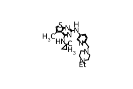 CCN1CCN(Cc2ccc(Nc3nc(NC4(C)CC4)c4c(C)csc4n3)cn2)CC1